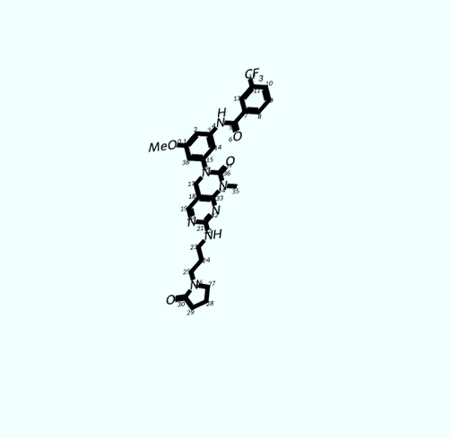 COc1cc(NC(=O)c2cccc(C(F)(F)F)c2)cc(N2Cc3cnc(NCCCN4CCCC4=O)nc3N(C)C2=O)c1